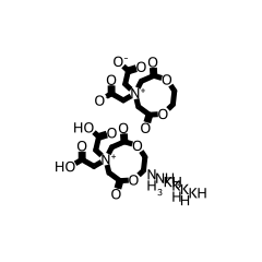 N.N.O=C(O)C[N+]1(CC(=O)O)CC(=O)OCCOC(=O)C1.O=C([O-])C[N+]1(CC(=O)[O-])CC(=O)OCCOC(=O)C1.[KH].[KH].[KH].[KH]